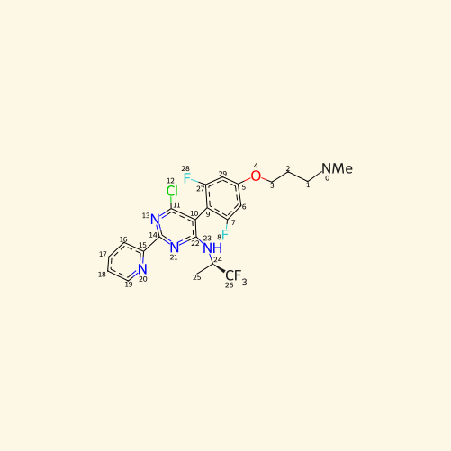 CNCCCOc1cc(F)c(-c2c(Cl)nc(-c3ccccn3)nc2N[C@H](C)C(F)(F)F)c(F)c1